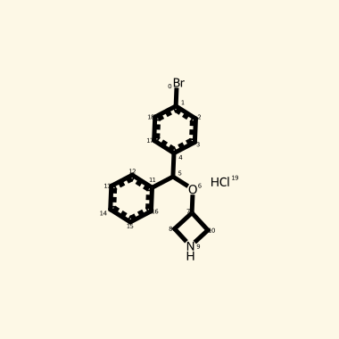 Brc1ccc(C(OC2CNC2)c2ccccc2)cc1.Cl